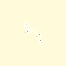 N#Cc1ccc(CCOc2cc3n(c(=O)n2)CC2CCCN32)cc1